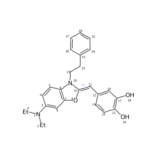 CCN(CC)c1ccc2c(c1)O/C(=C\c1ccc(O)c(O)c1)N2CCc1ccccc1